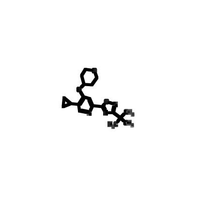 CC(C)(C)c1noc(-c2cc(OC3CCOCC3)c(C3CC3)cn2)n1